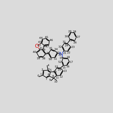 Cc1cc(C)c2c(c1)C(C)(C)c1ccc(-c3cccc(N(c4ccc(-c5ccccc5)cc4)c4ccc(-c5cccc6oc7ccccc7c56)cc4)c3)cc1-2